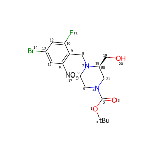 CC(C)(C)OC(=O)N1CCN(Cc2c(F)cc(Br)cc2[N+](=O)[O-])[C@@H](CO)C1